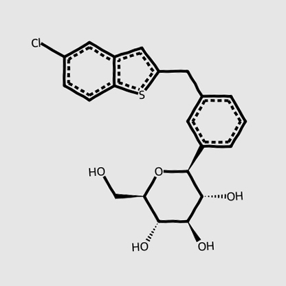 OC[C@H]1O[C@@H](c2cccc(Cc3cc4cc(Cl)ccc4s3)c2)[C@H](O)[C@@H](O)[C@@H]1O